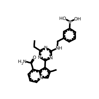 CCc1nc(NCc2cccc(B(O)O)c2)nc(-c2c(C)cn3cccc(C(N)=O)c23)n1